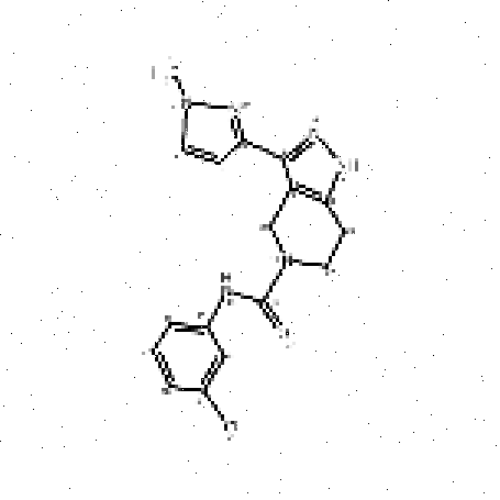 Cn1ccc(-c2n[nH]c3c2CN(C(=O)Nc2cccc(Cl)c2)CC3)n1